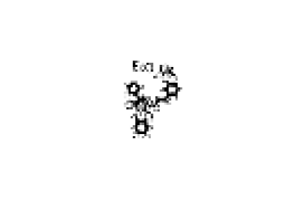 CCOC(=O)C(C)(C)Oc1cccc(C=CCn2nc(C3CCCC3)c(=O)n(Cc3ccccc3)c2=O)c1